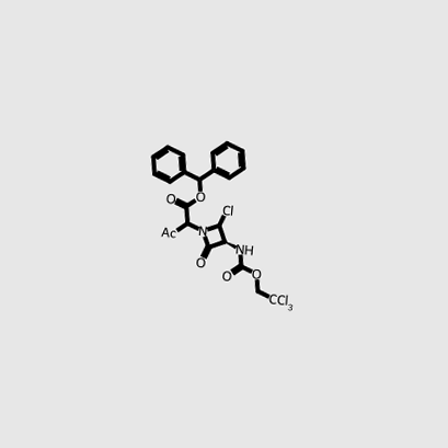 CC(=O)C(C(=O)OC(c1ccccc1)c1ccccc1)N1C(=O)[C@H](NC(=O)OCC(Cl)(Cl)Cl)C1Cl